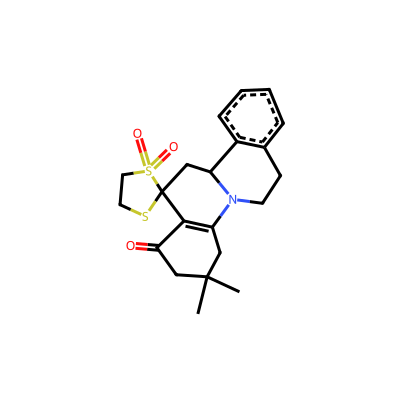 CC1(C)CC(=O)C2=C(C1)N1CCc3ccccc3C1CC21SCCS1(=O)=O